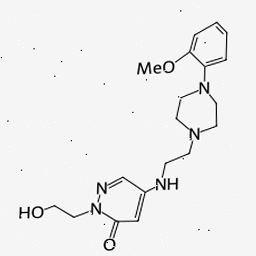 COc1ccccc1N1CCN(CCNc2cnn(CCO)c(=O)c2)CC1